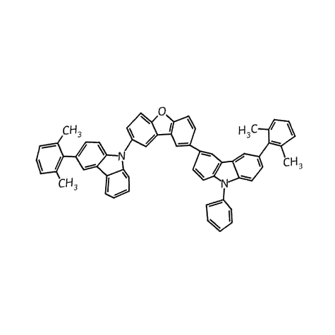 Cc1cccc(C)c1-c1ccc2c(c1)c1ccccc1n2-c1ccc2oc3ccc(-c4ccc5c(c4)c4cc(-c6c(C)cccc6C)ccc4n5-c4ccccc4)cc3c2c1